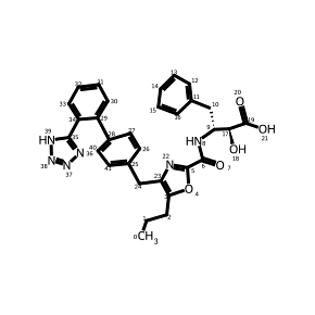 CCCc1oc(C(=O)N[C@H](Cc2ccccc2)[C@H](O)C(=O)O)nc1Cc1ccc(-c2ccccc2-c2nnn[nH]2)cc1